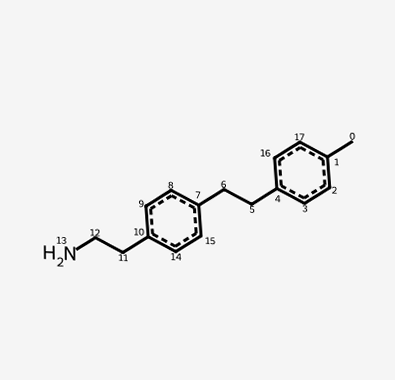 Cc1ccc(CCc2ccc(CCN)cc2)cc1